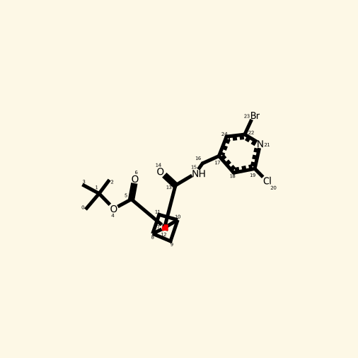 CC(C)(C)OC(=O)N1C2CC(C2)C1C(=O)NCc1cc(Cl)nc(Br)c1